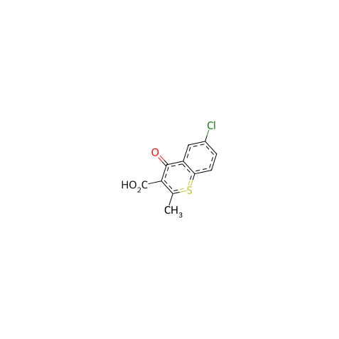 Cc1sc2ccc(Cl)cc2c(=O)c1C(=O)O